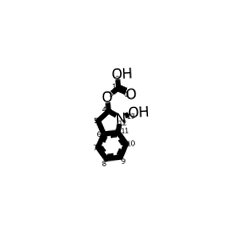 O=C(O)OC1Cc2ccccc2N1O